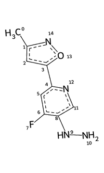 Cc1cc(-c2cc(F)c(NN)cn2)on1